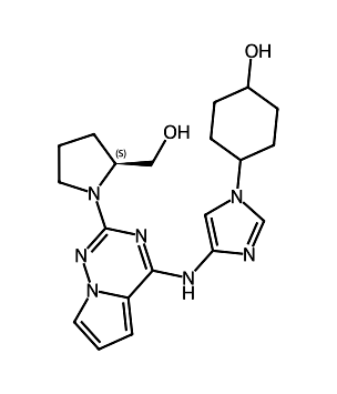 OC[C@@H]1CCCN1c1nc(Nc2cn(C3CCC(O)CC3)cn2)c2cccn2n1